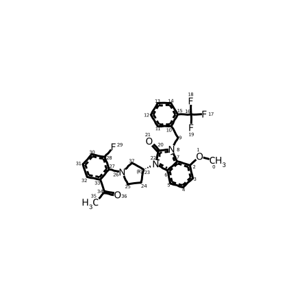 COc1cccc2c1n(Cc1ccccc1C(F)(F)F)c(=O)n2[C@@H]1CCN(c2c(F)cccc2C(C)=O)C1